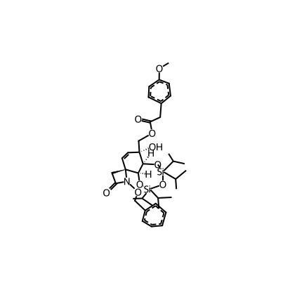 COc1ccc(CC(=O)OC[C@]2(O)C=C[C@]3(CC(=O)N3OCc3ccccc3)[C@@H]3O[Si](C(C)C)(C(C)C)O[Si](C(C)C)(C(C)C)O[C@@H]32)cc1